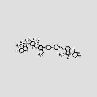 CCOc1cc(N2CCC(N3CCN(CCc4cccc5c4n(C)c(=O)n5C4CCC(=O)NC4=O)CC3)CC2)c(CC)cc1Nc1ncc(Br)c(Nc2cnc3ccc(F)cc3c2P(C)(C)=O)n1